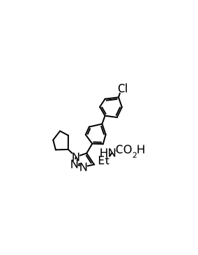 CCNC(=O)O.Clc1ccc(-c2ccc(-c3cnnn3C3CCCC3)cc2)cc1